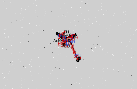 C=CCOC(=O)N1C[C@@H]2Cc3ccccc3CN2C(=O)c2cc(OC)c(OCCCCCOc3cc4c(cc3OC)C(=O)N3CC5(CC5)C[C@H]3[C@H](O)N4C(=O)OCc3ccc(NC(=O)[C@H](CO[C@@H]4O[C@H](C(=O)O)[C@@H](O)[C@H](O)[C@H]4O)NC(=O)[C@@H](NC(C)=O)C(C)C)cc3NC(=O)CCOCCOCCOCCOCCNC(=O)OCC3c4ccccc4-c4ccccc43)cc21